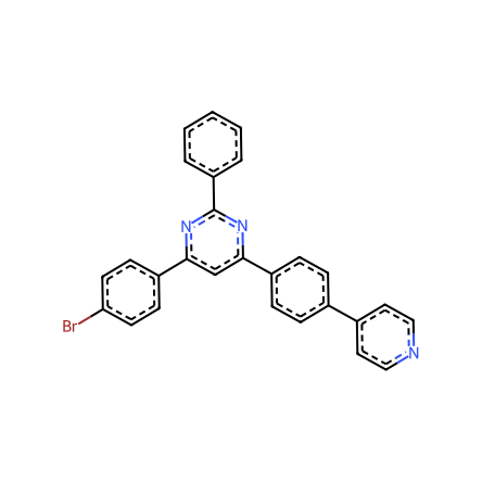 Brc1ccc(-c2cc(-c3ccc(-c4ccncc4)cc3)nc(-c3ccccc3)n2)cc1